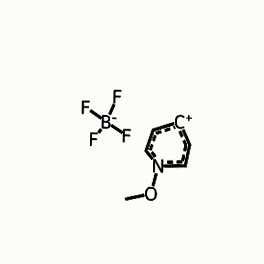 COn1cc[cH+]cc1.F[B-](F)(F)F